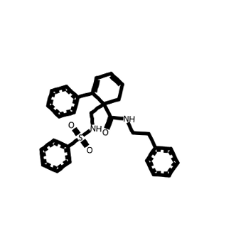 O=C(NCCc1ccccc1)C1(CNS(=O)(=O)c2ccccc2)CC=CC=C1c1ccccc1